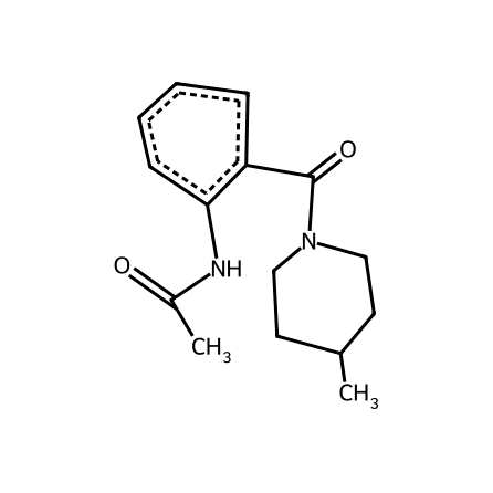 CC(=O)Nc1ccccc1C(=O)N1CCC(C)CC1